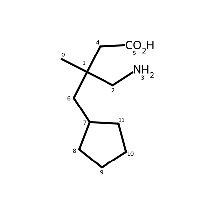 CC(CN)(CC(=O)O)CC1CCCC1